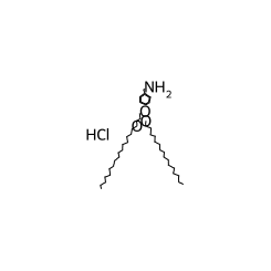 CCCCCCCCCCCCCCCCOCC(COc1ccc(CN)cc1)OCCCCCCCCCCCCCCCC.Cl